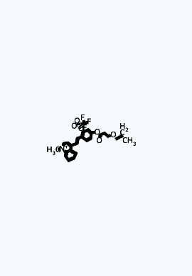 C=C(C)COCCC(=O)Oc1ccc(/C=C/c2cc[n+](C)c3ccccc23)cc1.O=S(=O)([O-])C(F)(F)F